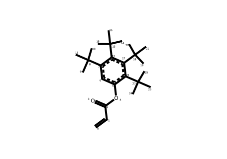 C=CC(=O)Oc1cc(C(C)(C)C)c(C(C)(C)C)c(C(C)(C)C)c1C(C)(C)C